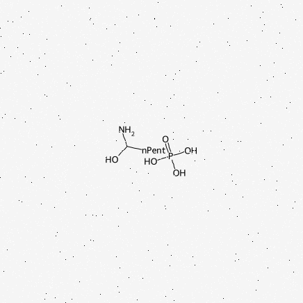 CCCCCC(N)O.O=P(O)(O)O